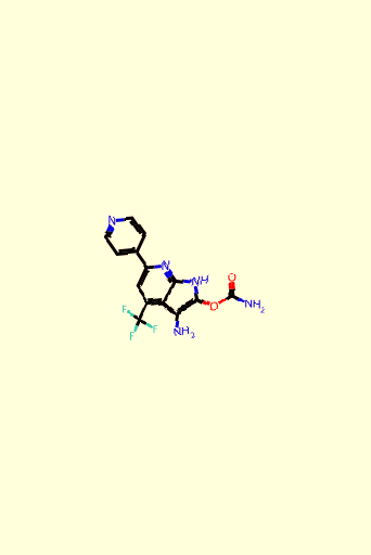 NC(=O)Oc1[nH]c2nc(-c3ccncc3)cc(C(F)(F)F)c2c1N